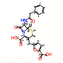 O=C(Cc1ccccc1)N[C@@H]1C(=O)N2C(C(=O)O)=C(Cc3ccc(C(=O)O)o3)CS[C@@H]12